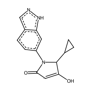 O=C1[C]=C(O)C(C2CC2)N1c1ccc2cn[nH]c2c1